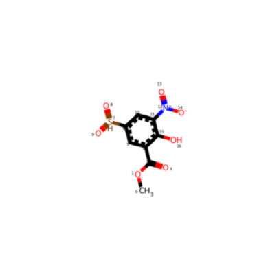 COC(=O)c1cc([SH](=O)=O)cc([N+](=O)[O-])c1O